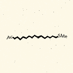 CSCCCCCCCCCCCCCCCC(C)=O